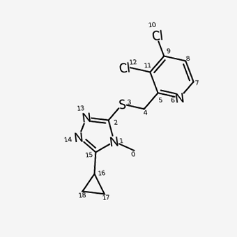 Cn1c(SCc2nccc(Cl)c2Cl)nnc1C1CC1